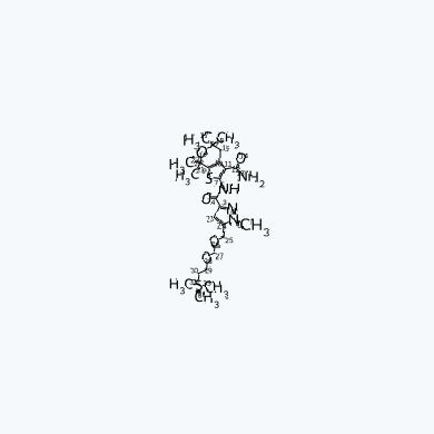 Cn1nc(C(=O)Nc2sc3c(c2C(N)=O)CC(C)(C)OC3(C)C)cc1COCOCCS(C)(C)C